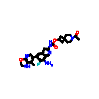 CC(=O)N1CCC2(CC1)CC(OC(=O)Nc1cc3cc(-c4cnc5c(c4C)NCCO5)c(F)c(N)c3cn1)C2